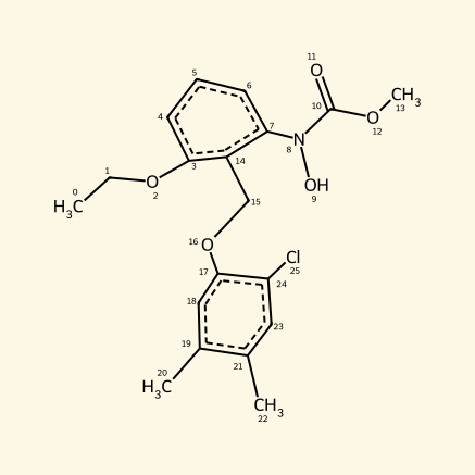 CCOc1cccc(N(O)C(=O)OC)c1COc1cc(C)c(C)cc1Cl